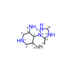 CCCC1CNCC(N)C1N1NCNC1C